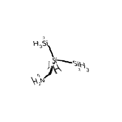 N[SiH]([SiH3])[SiH3]